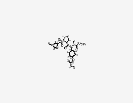 CC(C)OC(=O)[C@H](C)N(C(=O)[C@@H]1CCCN1S(=O)(=O)c1cn(C)cn1)c1ccc(OC(=O)N(C)C)cc1